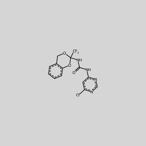 O=C(Nc1cc(Cl)ncn1)NC1(C(F)(F)F)OCc2ccccc2O1